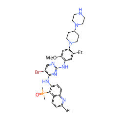 CCc1cc(Nc2ncc(Br)c(Nc3ccc4nc(C(C)C)ccc4c3P(C)(C)=O)n2)c(OC)cc1N1CCC(N2CCNCC2)CC1